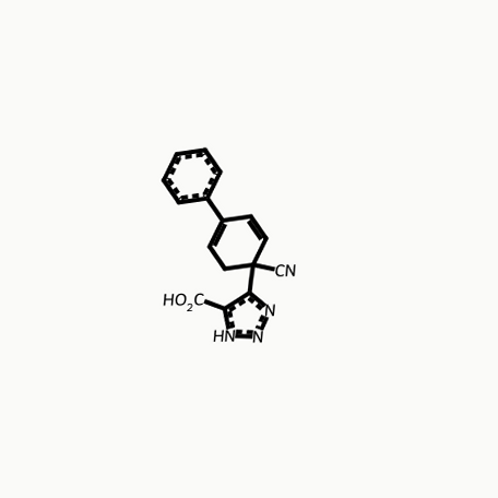 N#CC1(c2nn[nH]c2C(=O)O)C=CC(c2ccccc2)=CC1